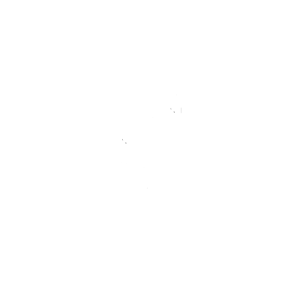 CC(C)(C)c1cc(-c2ccc[nH]2)no1